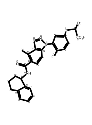 CCC(Oc1ccc(Cl)c(-n2nnc3c(C)c(C(=O)NC4CCCc5ccccc54)ccc32)c1)C(=O)O